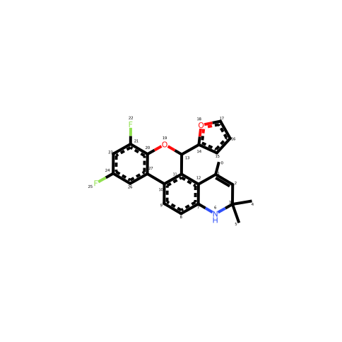 CC1=CC(C)(C)Nc2ccc3c(c21)C(c1ccco1)Oc1c(F)cc(F)cc1-3